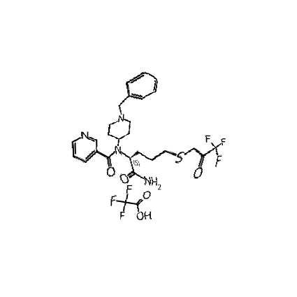 NC(=O)[C@H](CCCSCC(=O)C(F)(F)F)N(C(=O)c1cccnc1)C1CCN(Cc2ccccc2)CC1.O=C(O)C(F)(F)F